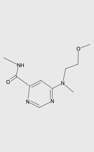 CNC(=O)c1cc(N(C)CCOC)ncn1